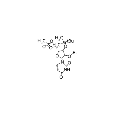 CCO[C@@H]1[C@H](O[Si](C)(C)C(C)(C)C)[C@@H](COS(C)(=O)=O)O[C@@H]1n1ccc(=O)[nH]c1=O